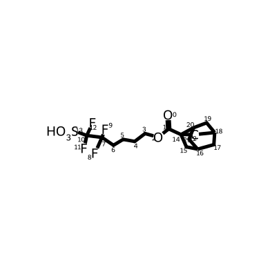 O=C(OCCCCC(F)(F)C(F)(F)S(=O)(=O)O)C12CC3CC(CC1C3)C2